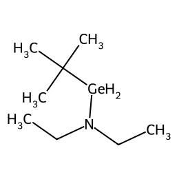 CC[N](CC)[GeH2][C](C)(C)C